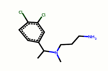 CC(c1ccc(Cl)c(Cl)c1)N(C)CCCN